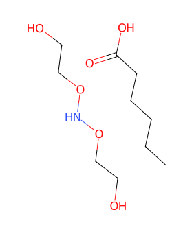 CCCCCC(=O)O.OCCONOCCO